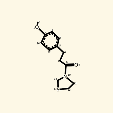 COc1ccc(CCC(=O)N2CCSC2)cc1